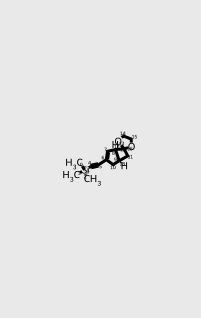 C[Si](C)(C)C#CC1=C[C@@H]2[C@H](C1)CC21OCCO1